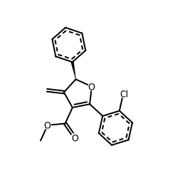 C=C1C(C(=O)OC)=C(c2ccccc2Cl)O[C@@H]1c1ccccc1